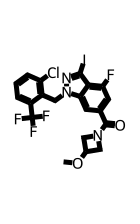 COC1CN(C(=O)c2cc(F)c3c(I)nn(Cc4c(Cl)cccc4C(F)(F)F)c3c2)C1